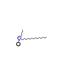 CCCCCCCCCCCCCCC1N(CCCC)C=CN1c1ccccc1